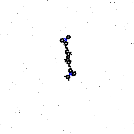 Cc1cc(C)cc(-n2c3ccccc3c3cc(/C=C/c4ccc5c(c4)C(C)(C)c4cc6c(cc4-5)C(C)(C)c4cc(/C=C/c5ccc7c(c5)c5ccccc5n7-c5ccccc5)ccc4-6)ccc32)c1